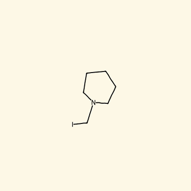 ICN1CCCCC1